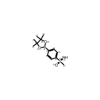 CC1(C)OB(c2ccc(S(C)(=N)=O)cc2)OC1(C)C